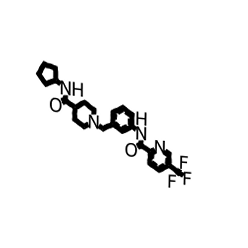 O=C(Nc1cccc(CN2CCC(C(=O)NC3CCCC3)CC2)c1)c1ccc(C(F)(F)F)cn1